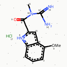 COc1cccc2[nH]c(C(=O)N(C)C(=N)N)cc12.Cl